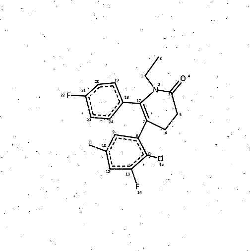 CCN1C(=O)CCC(c2cc(C)cc(F)c2Cl)=C1c1ccc(F)cc1